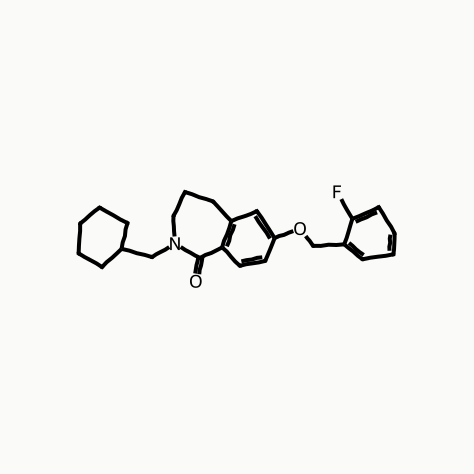 O=C1c2ccc(OCc3ccccc3F)cc2CCCN1CC1CCCCC1